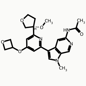 CO[C@@]1(c2cc(OC3COC3)cc(-c3cn(C)c4cnc(NC(C)=O)cc34)n2)CCOC1